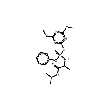 COc1nc(OC)nc(OP(=O)(NC(C)C(=O)OC(C)C)Oc2ccccc2)n1